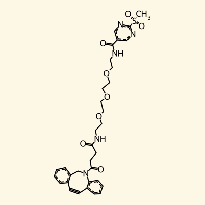 CS(=O)(=O)c1ncc(C(=O)NCCOCCOCCOCCNC(=O)CCC(=O)N2Cc3ccccc3C#Cc3ccccc32)cn1